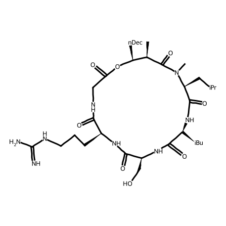 CCCCCCCCCC[C@@H]1OC(=O)CNC(=O)[C@H](CCCNC(=N)N)NC(=O)[C@H](CO)NC(=O)[C@H]([C@H](C)CC)NC(=O)[C@H](CC(C)C)N(C)C(=O)[C@@H]1C